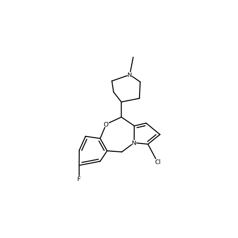 CN1CCC(C2Oc3ccc(F)cc3Cn3c(Cl)ccc32)CC1